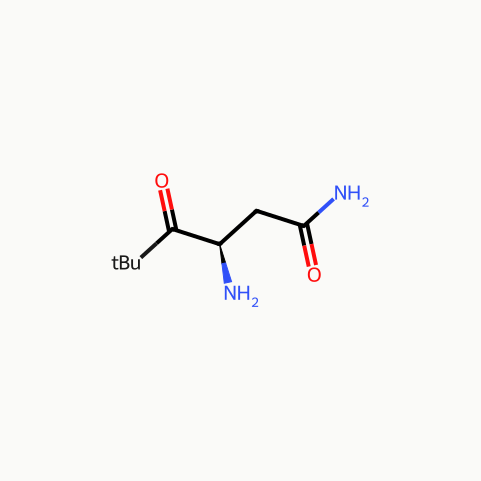 CC(C)(C)C(=O)[C@H](N)CC(N)=O